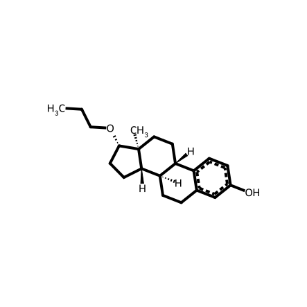 CCCO[C@H]1CC[C@H]2[C@@H]3CCc4cc(O)ccc4[C@H]3CC[C@]12C